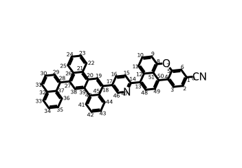 N#Cc1ccc2c(c1)Oc1cccc3c(-c4ccc(-c5cc6c7ccccc7c(-c7cccc8ccccc78)cc6c6ccccc56)cn4)ccc-2c13